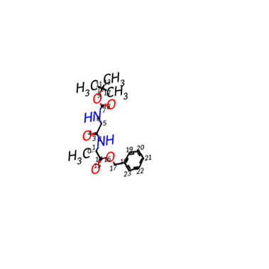 C[C@H](NC(=O)CNC(=O)OC(C)(C)C)C(=O)OCc1ccccc1